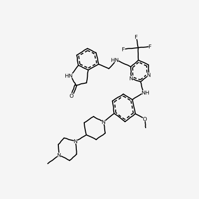 COc1cc(N2CCC(N3CCN(C)CC3)CC2)ccc1Nc1ncc(C(F)(F)F)c(NCc2cccc3c2CC(=O)N3)n1